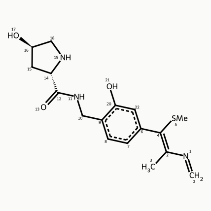 C=N/C(C)=C(\SC)c1ccc(CNC(=O)[C@@H]2C[C@@H](O)CN2)c(O)c1